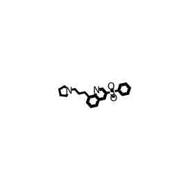 O=S(=O)(c1ccccc1)c1cnc2c(CCCN3CCCC3)cccc2c1